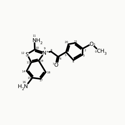 COc1ccc(C(=O)C[n+]2c(N)sc3cc(N)ccc32)cc1